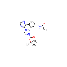 CC(=O)NCc1ccc(-c2nccnc2N2CCN(C(=O)OC(C)(C)C)CC2)cc1